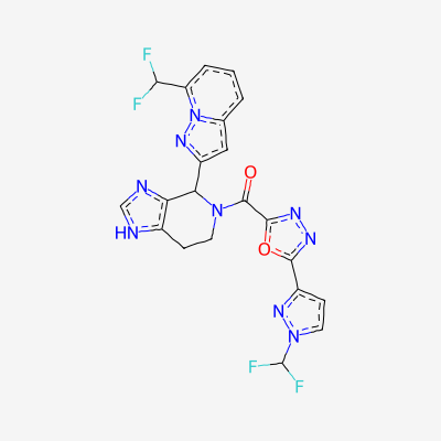 O=C(c1nnc(-c2ccn(C(F)F)n2)o1)N1CCc2[nH]cnc2C1c1cc2cccc(C(F)F)n2n1